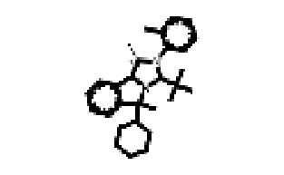 Cc1ccccc1N1C(C(C)(C)C)N2C(c3ccccc3C2(C)C2CCCCC2)[C@@H]1C